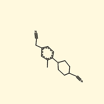 Cc1cc(CC#N)ccc1N1CCC(C#N)CC1